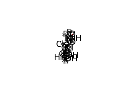 O=c1[nH]c(=O)n(-c2cc(Cl)c(Oc3cc(S(=O)(=O)N[C@H]4CC[C@H]4O)c(O)cn3)c(Cl)c2)nc1C(F)F